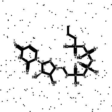 CCCP(=O)(O)OP(=O)(O)OP(=O)(O)OP(=O)(O)OC[C@H]1O[C@@H](n2ccc(=O)[nH]c2=O)[C@@H](O)C1O